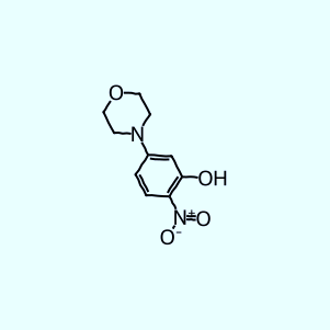 O=[N+]([O-])c1ccc(N2CCOCC2)cc1O